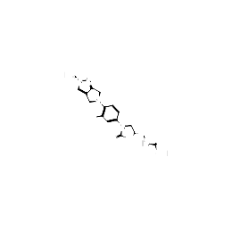 CC(=O)NC[C@H]1CN(c2ccc(N3Cc4cn(C)nc4C3)c(F)c2)C(=O)O1